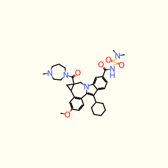 COc1ccc2c(c1)C1CC1(C(=O)N1CCCN(C)CC1)Cn1c-2c(C2CCCCC2)c2ccc(C(=O)NS(=O)(=O)N(C)C)cc21